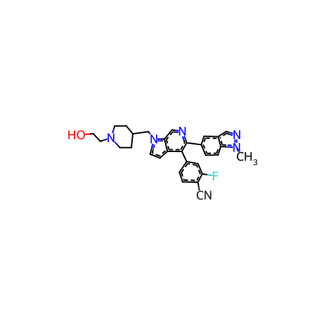 Cn1ncc2cc(-c3ncc4c(ccn4CC4CCN(CCO)CC4)c3-c3ccc(C#N)c(F)c3)ccc21